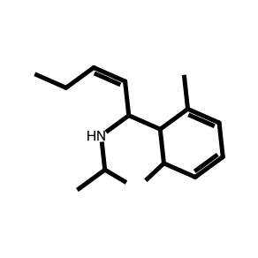 CC/C=C\C(NC(C)C)C1C(C)=CC=CC1C